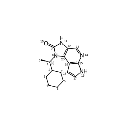 C[C@H](C1CCCCC1)n1c(=O)[nH]c2cnc3[nH]ccc3c21